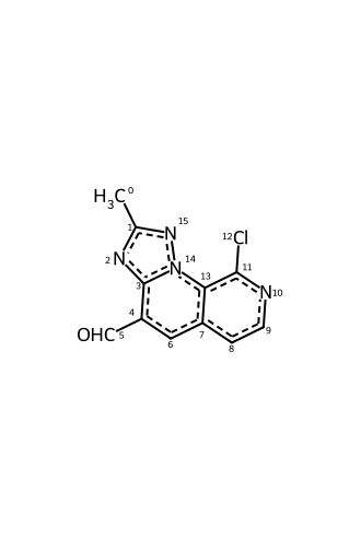 Cc1nc2c(C=O)cc3ccnc(Cl)c3n2n1